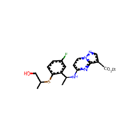 CCOC(=O)c1cnn2ccc(NC(C)c3cc(F)ccc3SC(C)CO)nc12